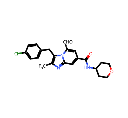 O=Cc1cc(C(=O)NC2CCOCC2)cc2nc(C(F)(F)F)c(Cc3ccc(Cl)cc3)n12